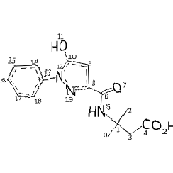 CC(C)(CC(=O)O)NC(=O)c1cc(O)n(-c2ccccc2)n1